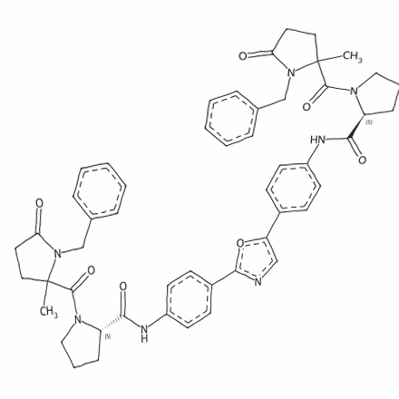 CC1(C(=O)N2CCC[C@H]2C(=O)Nc2ccc(-c3cnc(-c4ccc(NC(=O)[C@@H]5CCCN5C(=O)C5(C)CCC(=O)N5Cc5ccccc5)cc4)o3)cc2)CCC(=O)N1Cc1ccccc1